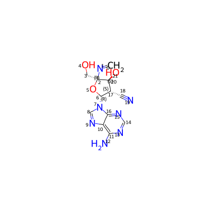 C=N[C@]1(CO)O[C@@H](n2cnc3c(N)ncnc32)[C@@H](C#N)[C@@H]1O